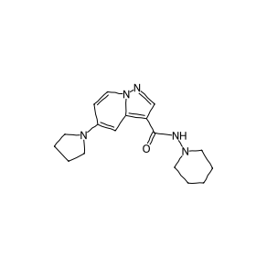 O=C(NN1CCCCC1)c1cnn2ccc(N3CCCC3)cc12